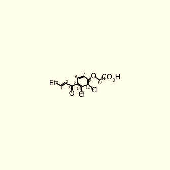 CC/C=C/C(=O)c1ccc(OCC(=O)O)c(Cl)c1Cl